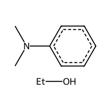 CCO.CN(C)c1ccccc1